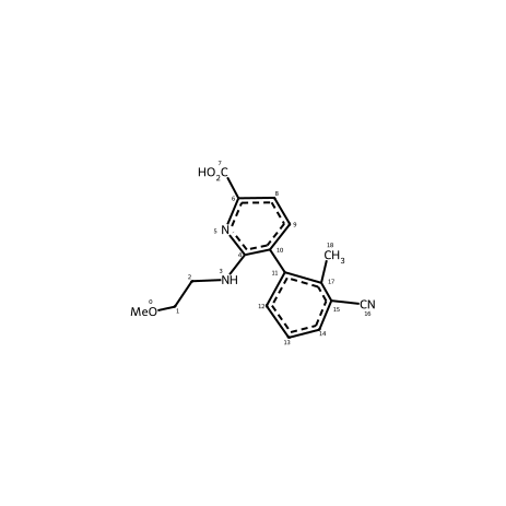 COCCNc1nc(C(=O)O)ccc1-c1cccc(C#N)c1C